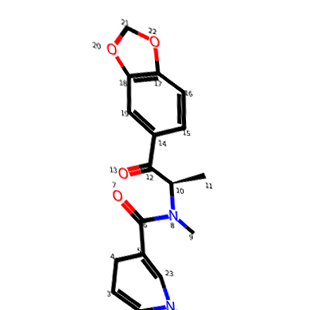 CCN1C=CCC(C(=O)N(C)[C@H](C)C(=O)c2ccc3c(c2)OCO3)=C1